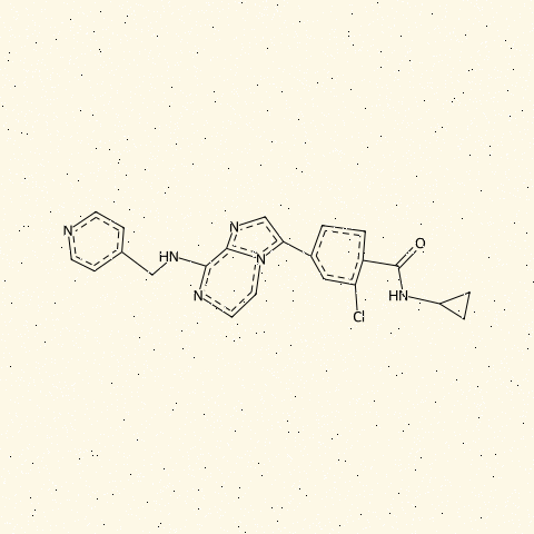 O=C(NC1CC1)c1ccc(-c2cnc3c(NCc4ccncc4)nccn23)cc1Cl